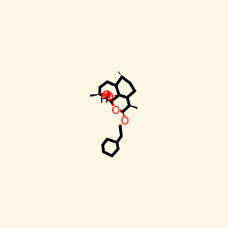 C[C@@H]1CCC2[C@@H](C)[C@@H](OCCC3CCCCC3)O[C@@H]3O[C@@]4(C)CCC1[C@@]23OO4